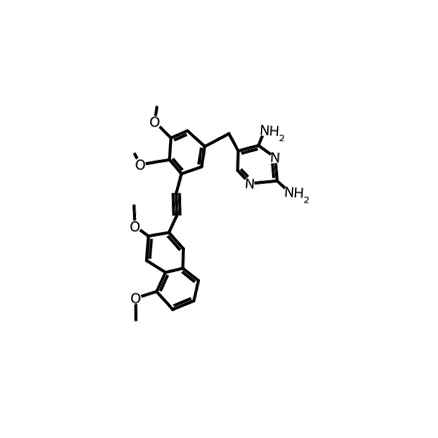 COc1cc2c(OC)cccc2cc1C#Cc1cc(Cc2cnc(N)nc2N)cc(OC)c1OC